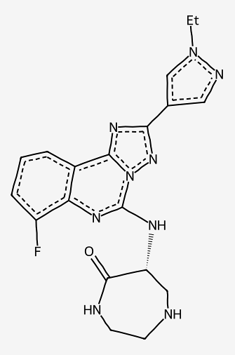 CCn1cc(-c2nc3c4cccc(F)c4nc(N[C@@H]4CNCCNC4=O)n3n2)cn1